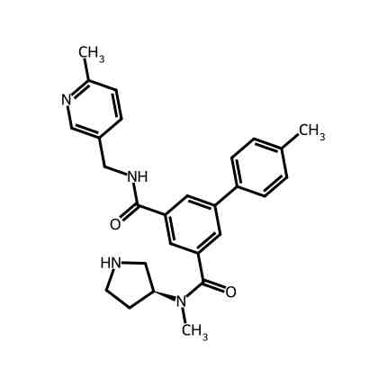 Cc1ccc(-c2cc(C(=O)NCc3ccc(C)nc3)cc(C(=O)N(C)[C@H]3CCNC3)c2)cc1